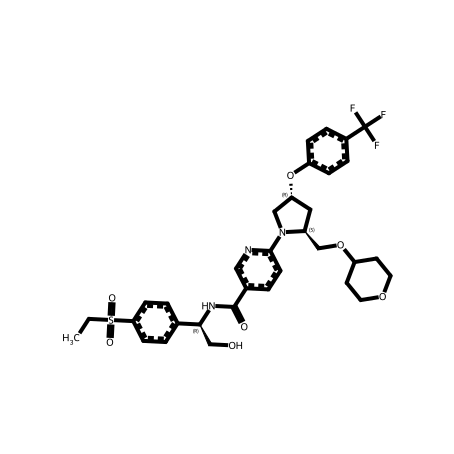 CCS(=O)(=O)c1ccc([C@H](CO)NC(=O)c2ccc(N3C[C@H](Oc4ccc(C(F)(F)F)cc4)C[C@H]3COC3CCOCC3)nc2)cc1